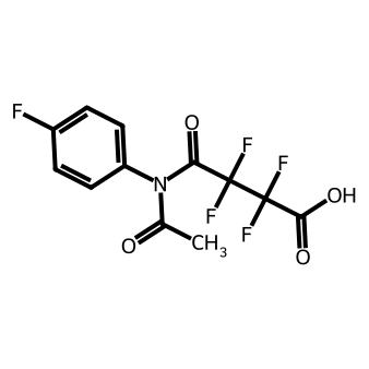 CC(=O)N(C(=O)C(F)(F)C(F)(F)C(=O)O)c1ccc(F)cc1